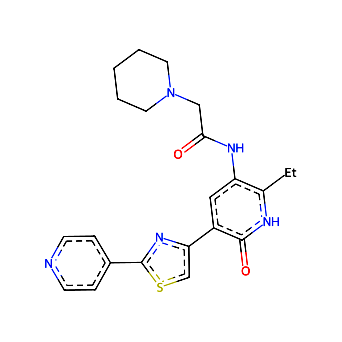 CCc1[nH]c(=O)c(-c2csc(-c3ccncc3)n2)cc1NC(=O)CN1CCCCC1